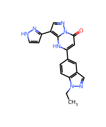 CCn1ncc2cc(-c3cc(=O)n4ncc(-c5cc[nH]n5)c4[nH]3)ccc21